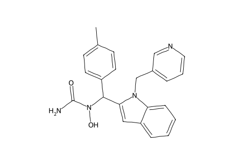 Cc1ccc(C(c2cc3ccccc3n2Cc2cccnc2)N(O)C(N)=O)cc1